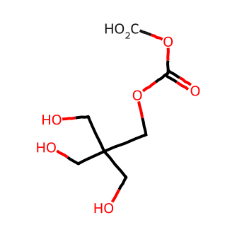 O=C(O)OC(=O)OCC(CO)(CO)CO